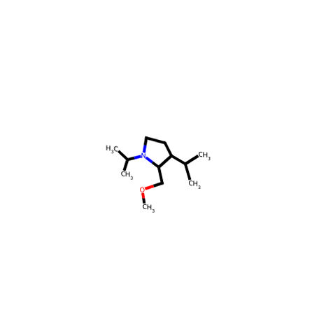 COCC1C(C(C)C)CCN1C(C)C